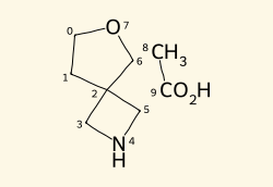 C1CC2(CNC2)CO1.CC(=O)O